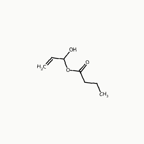 C=CC(O)OC(=O)CCC